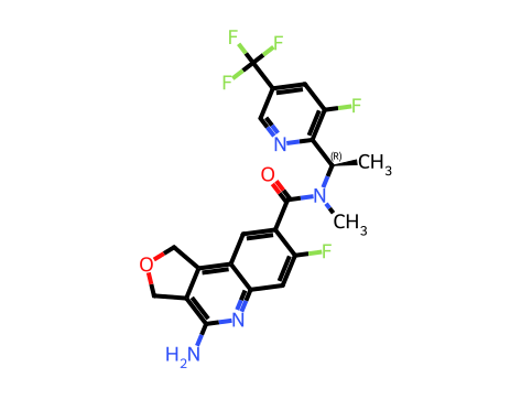 C[C@H](c1ncc(C(F)(F)F)cc1F)N(C)C(=O)c1cc2c3c(c(N)nc2cc1F)COC3